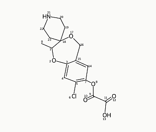 CC1Oc2cc(Cl)c(OC(=O)C(=O)O)cc2COC12CCNCC2